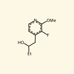 CCC(O)Cc1ccnc(OC)c1F